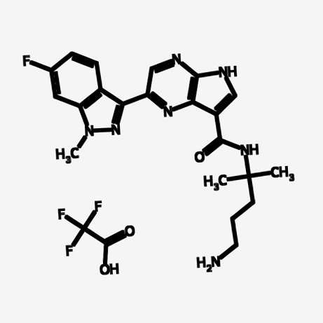 Cn1nc(-c2cnc3[nH]cc(C(=O)NC(C)(C)CCCN)c3n2)c2ccc(F)cc21.O=C(O)C(F)(F)F